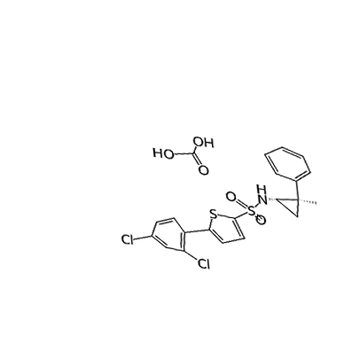 C[C@]1(c2ccccc2)C[C@@H]1NS(=O)(=O)c1ccc(-c2ccc(Cl)cc2Cl)s1.O=C(O)O